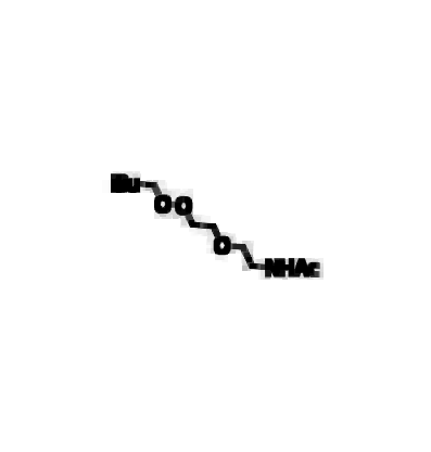 CCC(C)COOCCOCCNC(C)=O